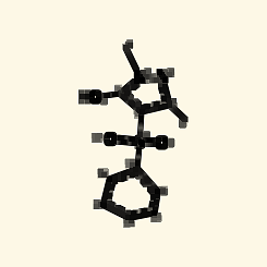 Cc1nn(C)c(O)c1S(=O)(=O)c1ccccc1